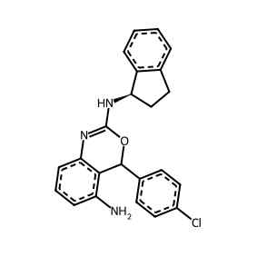 Nc1cccc2c1C(c1ccc(Cl)cc1)OC(N[C@@H]1CCc3ccccc31)=N2